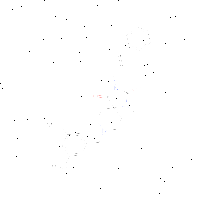 CCN1C(=O)N(C/C=C/c2ccccc2)C(=O)C12CCN(Cc1cc(OC)cc(OC)c1)CC2